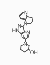 OC1CCCN(c2cnc3c(N4CCCc5ncccc54)n[nH]c3n2)C1